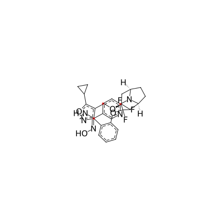 N/C(=N\O)c1ccc(N2[C@@H]3CC[C@H]2C[C@@H](OCc2c(-c4ccccc4OC(F)(F)F)noc2C2CC2)C3)nc1